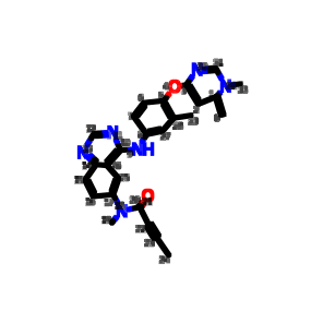 C=C1C=C(Oc2ccc(Nc3ncnc4ccc(N(C)C(=O)C#CC)cc34)cc2C)N=CN1C